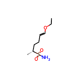 CCOC=CCC[C@@H](C)S(N)(=O)=O